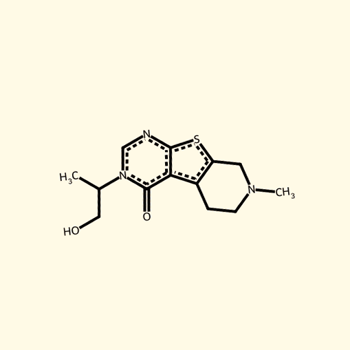 CC(CO)n1cnc2sc3c(c2c1=O)CCN(C)C3